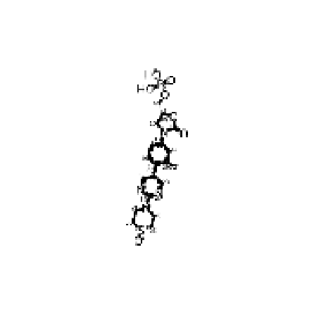 O=C1O[C@@H](COP(=O)(O)O)CN1c1ccc(-c2cnc(N3CC[S+]([O-])CC3)nc2)c(F)c1